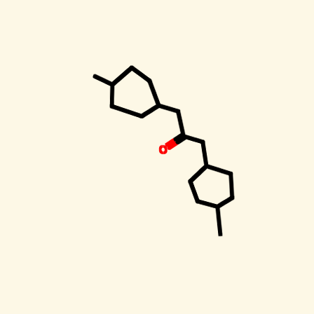 CC1CCC(CC(=O)CC2CCC(C)CC2)CC1